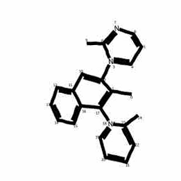 Cc1c(-[n+]2cccnc2C)cc2ccccc2c1-[n+]1ccccc1C